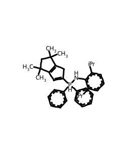 CC(C)c1cccc(C(C)C)c1N[PH](C1=CC2=C(C1)C(C)(C)CC2(C)C)(c1ccccc1)c1ccccc1